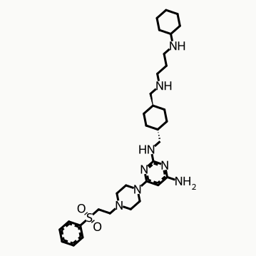 Nc1cc(N2CCN(CCS(=O)(=O)c3ccccc3)CC2)nc(NC[C@H]2CC[C@H](CNCCCNC3CCCCC3)CC2)n1